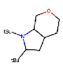 CC(C)(C)C1CC2CCOCC2N1C(C)(C)C